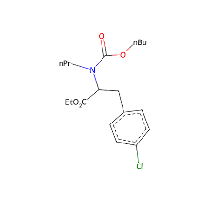 CCCCOC(=O)N(CCC)C(Cc1ccc(Cl)cc1)C(=O)OCC